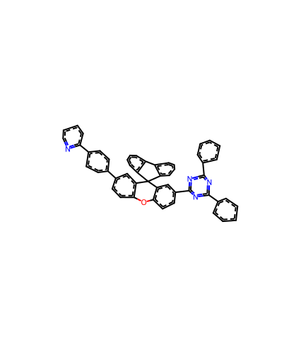 c1ccc(-c2nc(-c3ccccc3)nc(-c3ccc4c(c3)C3(c5cc(-c6ccc(-c7ccccn7)cc6)ccc5O4)c4ccccc4-c4ccccc43)n2)cc1